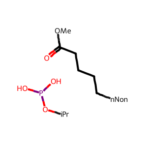 CC(C)OP(O)O.CCCCCCCCCCCCCC(=O)OC